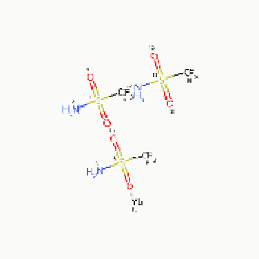 NS(=O)(=O)C(F)(F)F.NS(=O)(=O)C(F)(F)F.NS(=O)(=O)C(F)(F)F.[Yb]